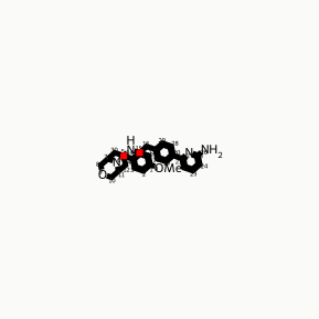 COc1ccc(CN2C3COCC2CC(NCCc2ccc(-c4cccc(N)n4)cc2)C3)cc1